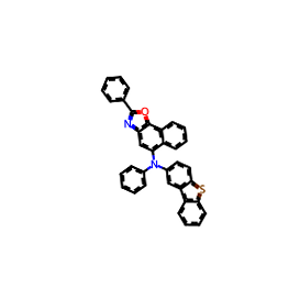 c1ccc(-c2nc3cc(N(c4ccccc4)c4ccc5sc6ccccc6c5c4)c4ccccc4c3o2)cc1